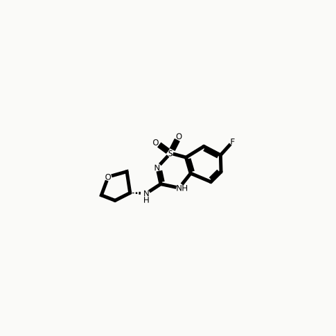 O=S1(=O)N=C(N[C@@H]2CCOC2)Nc2ccc(F)cc21